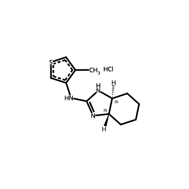 Cc1cscc1NC1=N[C@H]2CCCC[C@@H]2N1.Cl